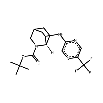 CC(C)(C)OC(=O)N1CC2CC[C@@H]1C(Nc1cnc(C(F)(F)F)cn1)C2